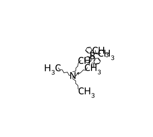 CCC(C)[B-](c1ccccc1)(c1ccccc1)c1ccccc1.CCCCCC[N+](CCCCCC)(CCCCCC)CCCCCC